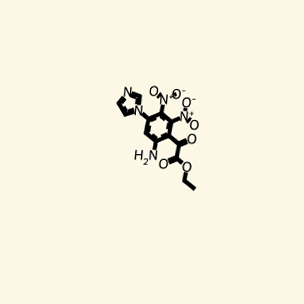 CCOC(=O)C(=O)c1c(N)cc(-n2ccnc2)c([N+](=O)[O-])c1[N+](=O)[O-]